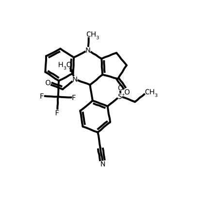 CC[S+]([O-])c1cc(C#N)ccc1C(C1=C(N(C)c2cccc(C(F)(F)F)c2)CCC1=O)N(C)C=O